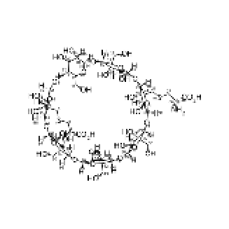 NC(CSCC1O[C@@H]2O[C@@H]3C(CO)O[C@H](O[C@@H]4C(CO)O[C@H](O[C@@H]5C(CSC[C@@H](N)C(=O)O)O[C@H](O[C@@H]6C(CO)O[C@H](O[C@@H]7C(CO)O[C@H](O[C@@H]8C(CO)O[C@H](O[C@H]1[C@H](O)C2O)C(O)[C@H]8O)C(O)[C@H]7O)[C@@H](O)C6O)[C@@H](O)C5O)[C@@H](O)C4O)[C@@H](O)C3O)C(=O)O